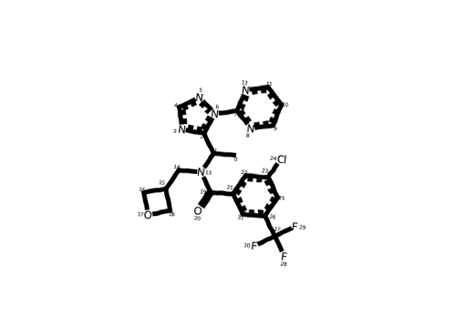 CC(c1ncnn1-c1ncccn1)N(CC1COC1)C(=O)c1cc(Cl)cc(C(F)(F)F)c1